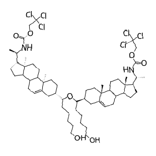 C[C@@H](NC(=O)OCC(Cl)(Cl)Cl)[C@H]1CCC2C3CC=C4C[C@@H](C(CCCCCO)OC(CCCCCO)[C@H]5CC[C@@]6(C)C(=CCC7C6CC[C@@]6(C)C7CC[C@@H]6[C@@H](C)NC(=O)OCC(Cl)(Cl)Cl)C5)CC[C@]4(C)C3CC[C@@]21C